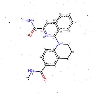 CNC(=O)c1ccc2c(c1)CCCN2c1nc(C(=O)NC)cc2ccccc12